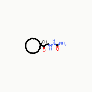 CC1(C(=O)CNNC(N)=O)CCCCCCCCCCC1